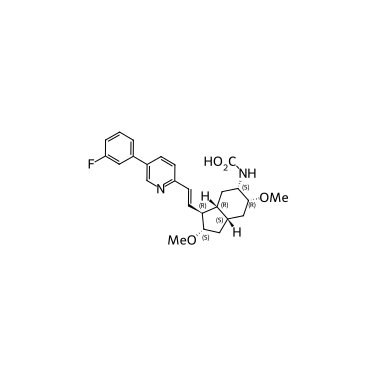 CO[C@H]1C[C@H]2C[C@@H](OC)[C@@H](NC(=O)O)C[C@H]2[C@@H]1C=Cc1ccc(-c2cccc(F)c2)cn1